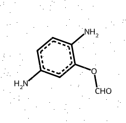 Nc1ccc(N)c(OC=O)c1